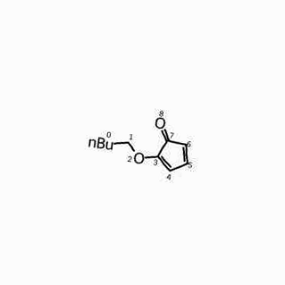 CCCCCOC1=CC=CC1=O